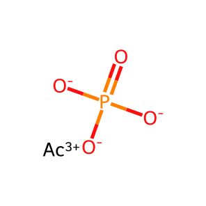 O=P([O-])([O-])[O-].[Ac+3]